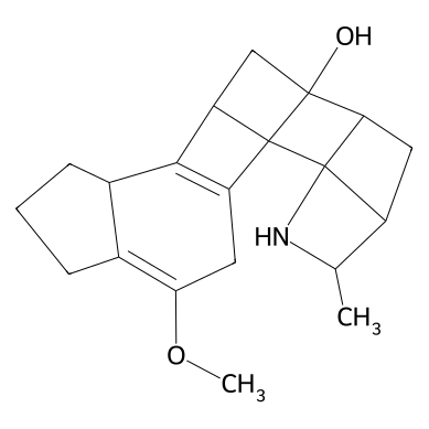 COC1=C2CCCC2C2=C(C1)C13C2CC1(O)C1CC2C(C)NC213